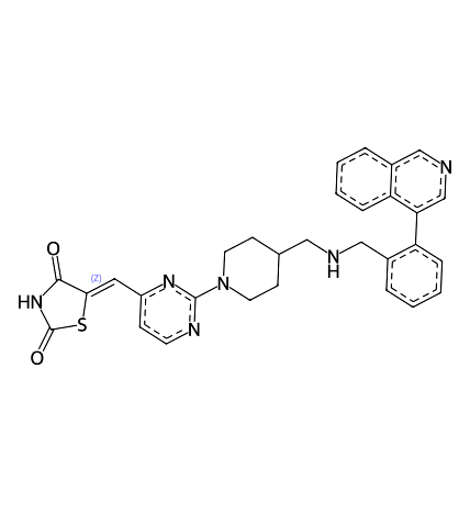 O=C1NC(=O)/C(=C/c2ccnc(N3CCC(CNCc4ccccc4-c4cncc5ccccc45)CC3)n2)S1